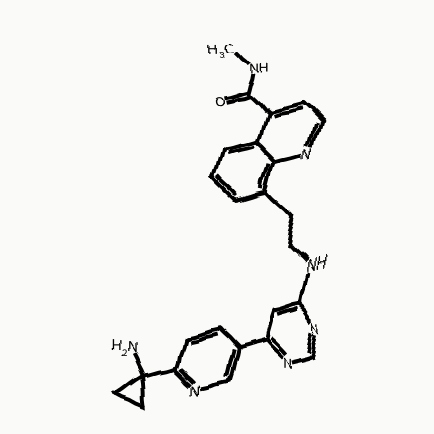 CNC(=O)c1ccnc2c(CCNc3cc(-c4ccc(C5(N)CC5)nc4)ncn3)cccc12